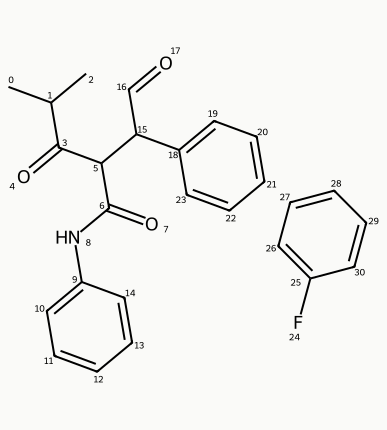 CC(C)C(=O)C(C(=O)Nc1ccccc1)C(C=O)c1ccccc1.Fc1ccccc1